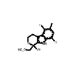 CCCC1(CC(=O)O)OCCc2c1[nH]c1c(Cl)cc(C)c(Cl)c21